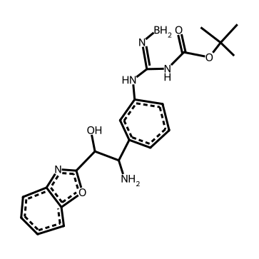 B/N=C(\NC(=O)OC(C)(C)C)Nc1cccc(C(N)C(O)c2nc3ccccc3o2)c1